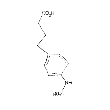 O=C(O)CCCc1ccc(NC(=O)O)cc1